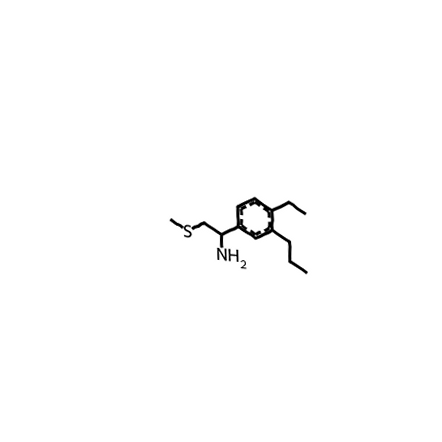 CCCc1cc(C(N)CSC)ccc1CC